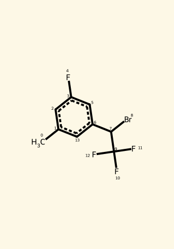 Cc1cc(F)cc(C(Br)C(F)(F)F)c1